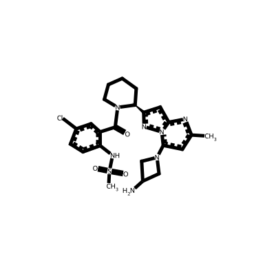 Cc1cc(N2CC(N)C2)n2nc([C@@H]3CCCCN3C(=O)c3cc(Cl)ccc3NS(C)(=O)=O)cc2n1